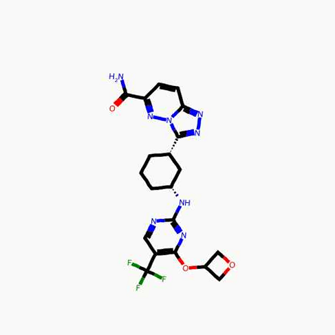 NC(=O)c1ccc2nnc([C@H]3CCC[C@@H](Nc4ncc(C(F)(F)F)c(OC5COC5)n4)C3)n2n1